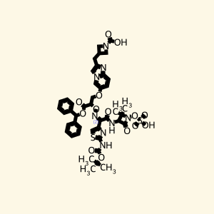 CC(C)(C)OC(=O)Nc1nc(/C(=N/OC(COc2ccc3nc(CC4CN(C(=O)O)C4)cn3c2)C(=O)OC(c2ccccc2)c2ccccc2)C(=O)NC2C(=O)N(OS(=O)(=O)O)C2(C)C)cs1